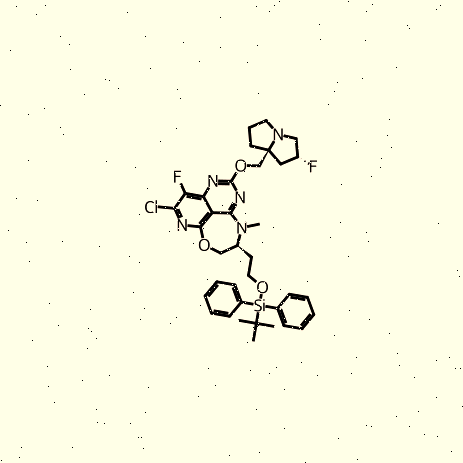 CN1c2nc(OC[C@@]34CCCN3C[C@H](F)C4)nc3c(F)c(Cl)nc(c23)OC[C@@H]1CCO[Si](c1ccccc1)(c1ccccc1)C(C)(C)C